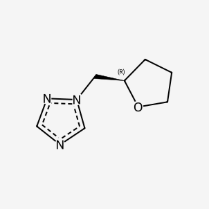 c1ncn(C[C@H]2CCCO2)n1